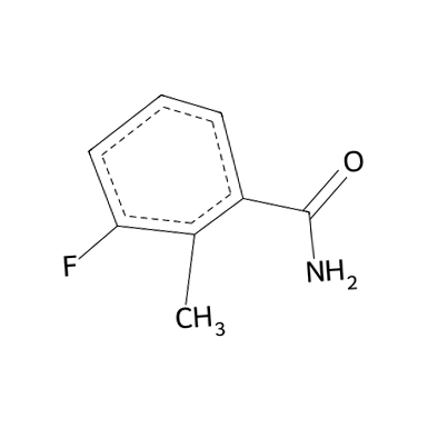 Cc1c(F)cccc1C(N)=O